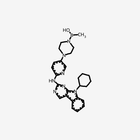 CB(O)N1CCN(c2ccc(Nc3ncc4c5ccccc5n(C5CCCCC5)c4n3)nc2)CC1